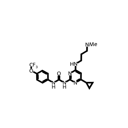 CNCCCNc1cc(C2CC2)nc(NC(=O)Nc2ccc(OC(F)(F)F)cc2)n1